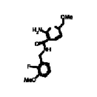 COCC(C)/C=C\C(C(=O)NCc1cccc(OC)c1F)=C(/C)N